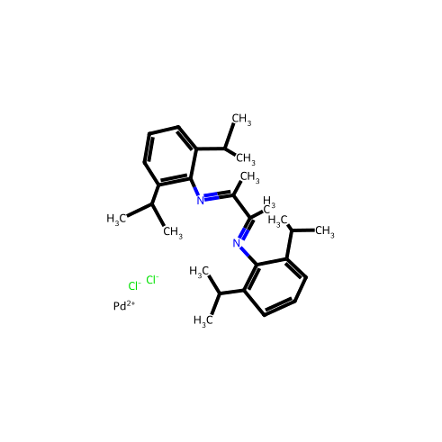 CC(=Nc1c(C(C)C)cccc1C(C)C)C(C)=Nc1c(C(C)C)cccc1C(C)C.[Cl-].[Cl-].[Pd+2]